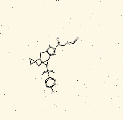 C=COCC(=O)n1cc2c(n1)CC1C3(CC3)CC13C2N3S(=O)(=O)c1ccc(Cl)cc1